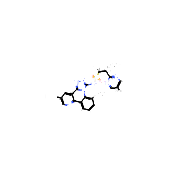 COc1cccc2c3ncc(C)cc3c3nnc(NS(=O)(=O)[C@@H](C)[C@H](OC)c4ncc(C)cn4)n3c12